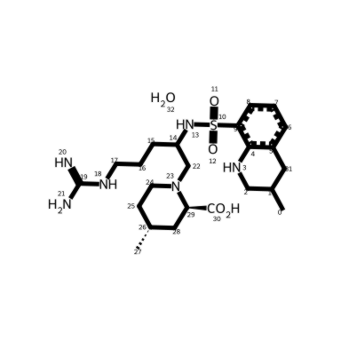 CC1CNc2c(cccc2S(=O)(=O)NC(CCCNC(=N)N)CN2CC[C@@H](C)C[C@@H]2C(=O)O)C1.O